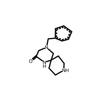 O=C1CN(Cc2ccccc2)CC2(CCNCC2)N1